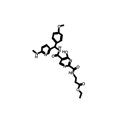 CCOC(=O)CCNC(=O)c1ncc(C(=O)NC(c2ccc(OC)cc2)c2ccc(NC)nc2)c(O)n1